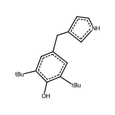 CC(C)(C)c1cc(Cc2cc[nH]c2)cc(C(C)(C)C)c1O